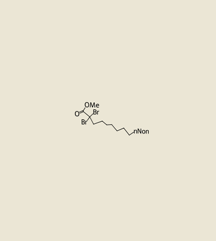 CCCCCCCCCCCCCCCCC(Br)(Br)C(=O)OC